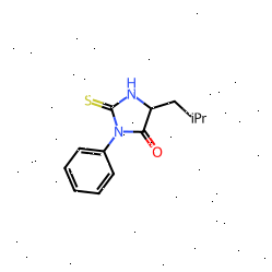 CC(C)CC1NC(=S)N(c2ccccc2)C1=O